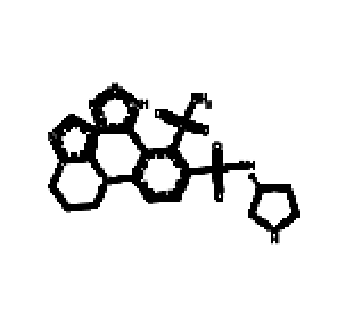 NS(=O)(=O)c1c(S(=O)(=O)N[C@@H]2CCNC2)ccc(N2CCCn3ncnc32)c1-c1nnn[nH]1